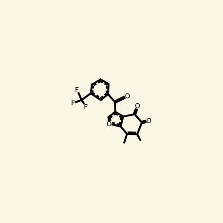 CC1=C(C)c2occ(C(=O)c3cccc(C(F)(F)F)c3)c2C(=O)C1=O